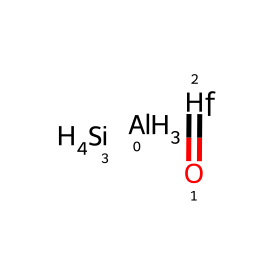 [AlH3].[O]=[Hf].[SiH4]